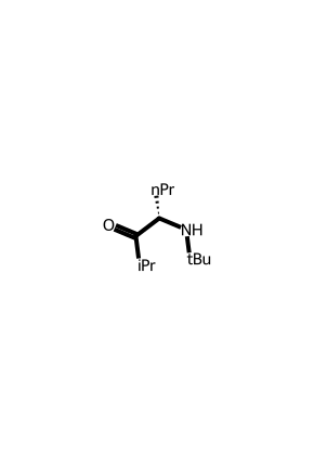 CCC[C@H](NC(C)(C)C)C(=O)C(C)C